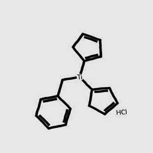 C1=CC[C]([Ti]([CH2]c2ccccc2)[C]2=CC=CC2)=C1.Cl